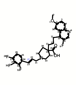 COc1ccc2ncc(F)c(CCCC3(C(=O)O)CCN(C/C=C/c4ccc(F)c(F)c4F)CC3)c2c1